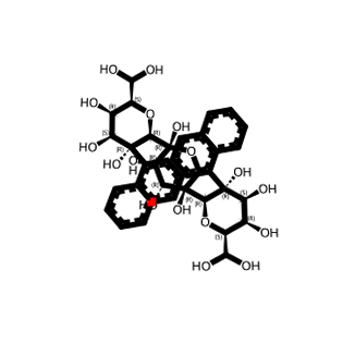 OC(O)[C@H]1O[C@@H]([C@@]2(O)CO[C@@](O)([C@@H]3O[C@H](C(O)O)[C@H](O)[C@H](O)[C@]3(O)c3cccc4ccccc34)[C@H](O)[C@H]2O)[C@@](O)(c2cccc3ccccc23)[C@@H](O)[C@H]1O